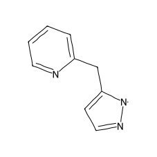 C1=N[N]C(Cc2ccccn2)=C1